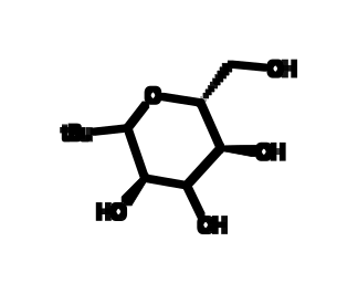 CC(C)(C)C1O[C@H](CO)[C@@H](O)C(O)[C@H]1O